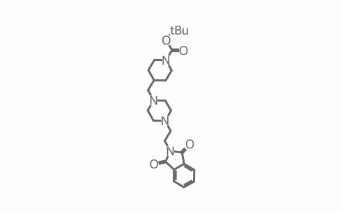 CC(C)(C)OC(=O)N1CCC(CN2CCN(CCN3C(=O)c4ccccc4C3=O)CC2)CC1